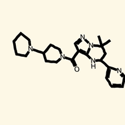 CC1(C)CC(c2ccccn2)Nc2c(C(=O)N3CCC(N4CCCCC4)CC3)cnn21